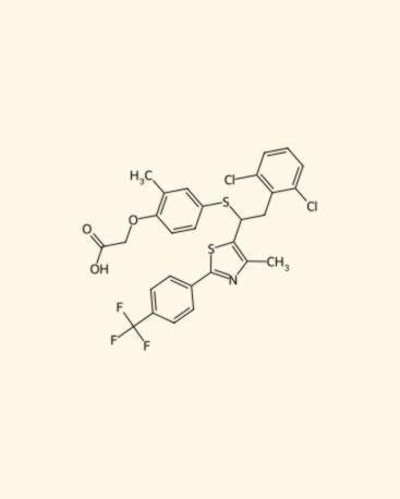 Cc1cc(SC(Cc2c(Cl)cccc2Cl)c2sc(-c3ccc(C(F)(F)F)cc3)nc2C)ccc1OCC(=O)O